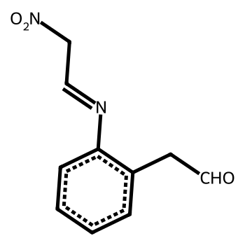 O=CCc1ccccc1N=CC[N+](=O)[O-]